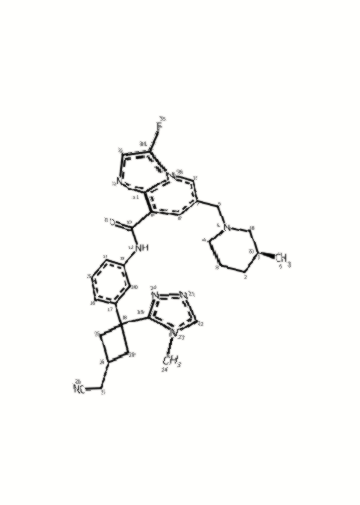 C[C@H]1CCCN(Cc2cc(C(=O)Nc3cccc(C4(c5nncn5C)CC(CC#N)C4)c3)c3ncc(F)n3c2)C1